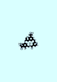 Cc1cnc2c(C(C)(C)O)cc(Cc3cc(C(=O)NCc4ccc5[nH]cc(Cl)c5c4F)ccn3)cc2c1